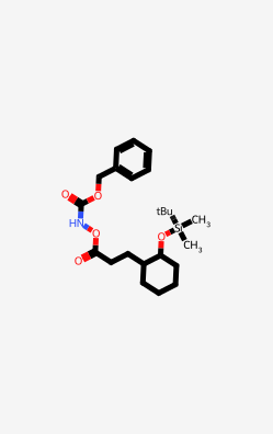 CC(C)(C)[Si](C)(C)OC1CCCCC1CCC(=O)ONC(=O)OCc1ccccc1